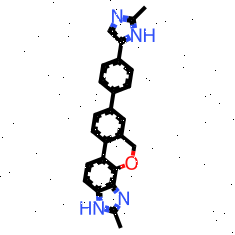 Cc1ncc(-c2ccc(-c3ccc4c(c3)COc3c-4ccc4[nH]c(C)nc34)cc2)[nH]1